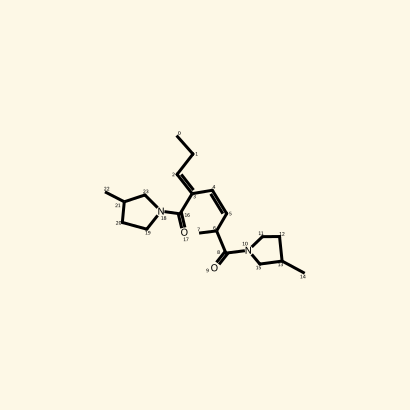 CC/C=C(\C=C/C(C)C(=O)N1CCC(C)C1)C(=O)N1CCC(C)C1